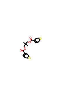 CC(C)(COC(=O)C1CC2CC1C1SC21)COC(=O)C1CC2CC1C1SC21